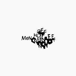 CNC1CCN(c2cnc3c(C)nnc(NC(C)c4cccc(C(F)F)c4F)c3c2)CC1.O=C(O)C(F)(F)F